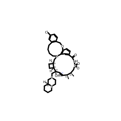 CO[C@]1(CN2CCN3CCCC[C@@H]3C2)/C=C/[C@H](C)[C@H](C)CS(=O)(=O)NC(=O)c2ccc3c(c2)N(CCCCc2cc(Cl)ccc2CO3)C[C@@H]2CC[C@H]21